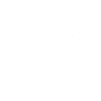 CCC(C)Oc1ccc([N+](=O)[O-])cc1[N+](=O)[O-]